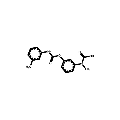 Cc1cccc(NC(=O)Oc2cccc(N(C)C(=O)O)c2)c1